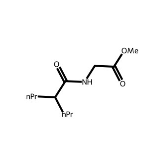 CCCC(CCC)C(=O)NCC(=O)OC